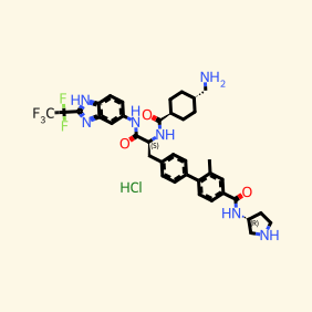 Cc1cc(C(=O)N[C@@H]2CCNC2)ccc1-c1ccc(C[C@H](NC(=O)[C@H]2CC[C@H](CN)CC2)C(=O)Nc2ccc3[nH]c(C(F)(F)C(F)(F)F)nc3c2)cc1.Cl